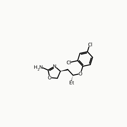 CC[C@H](C[C@H]1COC(N)=N1)Oc1ccc(Cl)cc1Cl